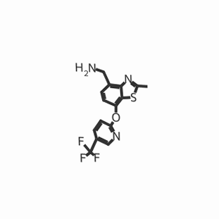 Cc1nc2c(CN)ccc(Oc3ccc(C(F)(F)F)cn3)c2s1